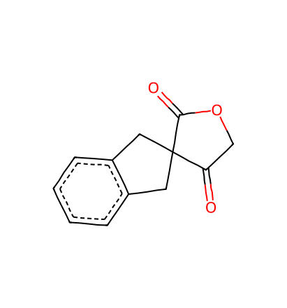 O=C1COC(=O)C12Cc1ccccc1C2